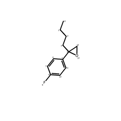 CCCCC1(c2ccc(F)cc2)CO1